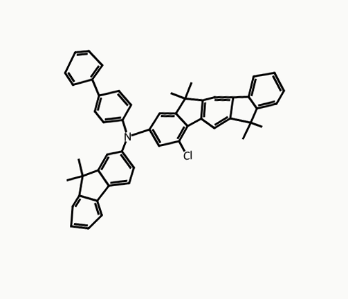 CC1(C)c2ccccc2-c2ccc(N(c3ccc(-c4ccccc4)cc3)c3cc(Cl)c4c(c3)C(C)(C)c3cc5c(cc3-4)C(C)(C)c3ccccc3-5)cc21